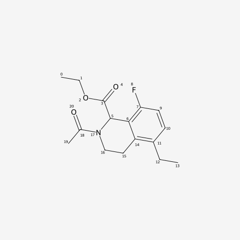 CCOC(=O)C1c2c(F)ccc(CC)c2CCN1C(C)=O